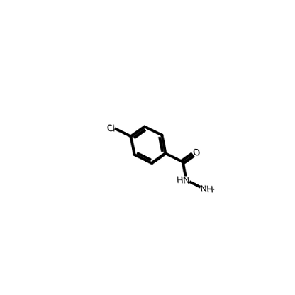 [NH]NC(=O)c1ccc(Cl)cc1